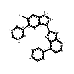 Fc1cc2[nH]nc(-c3nc4c(-c5ccncc5)ccnc4[nH]3)c2cc1-c1cncnc1